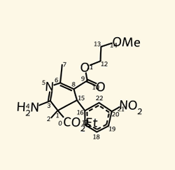 CCOC(=O)C1(C)C(N)=NC(C)=C(C(=O)OCCOC)C1c1cccc([N+](=O)[O-])c1